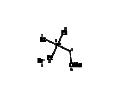 CC[P+](CC)(CC)COC.[Br-]